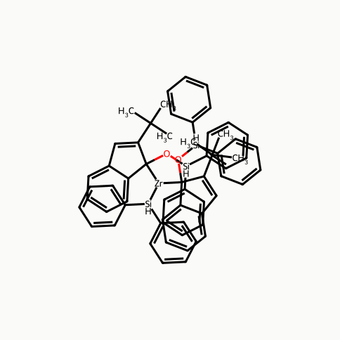 CC(C)(C)C1=Cc2ccccc2[C]1(O[SiH](c1ccccc1)c1ccccc1)[Zr]([SiH](c1ccccc1)c1ccccc1)[C]1(O[SiH](c2ccccc2)c2ccccc2)C(C(C)(C)C)=Cc2ccccc21